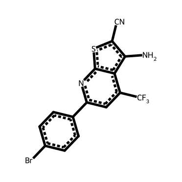 N#Cc1sc2nc(-c3ccc(Br)cc3)cc(C(F)(F)F)c2c1N